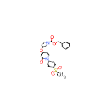 CS(=O)(=O)c1ccc(-n2ccc(OC3CCN(C(=O)OCc4ccccc4)C3)cc2=O)cc1